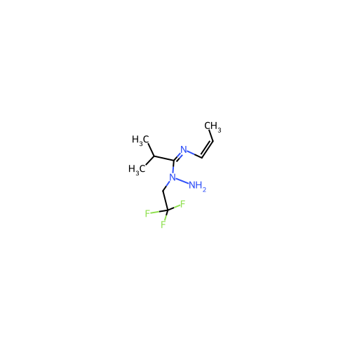 C/C=C\N=C(\C(C)C)N(N)CC(F)(F)F